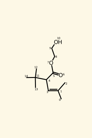 CC(C)=CC(C(=O)OCCO)C(C)(C)C